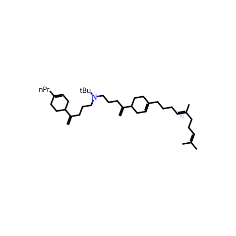 C=C(CCCN(CCCC(=C)C1CC=C(CCC/C=C(\C)CCC=C(C)C)CC1)C(C)(C)C)C1CC=C(CCC)CC1